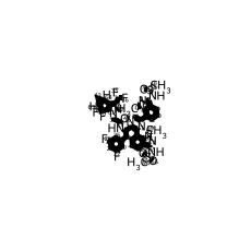 Cn1nc(N[S+](C)[O-])c2cccc(-c3cnc(C(Cc4cc(F)cc(F)c4)NC(=O)Cn4nc(C(F)F)c5c4C(F)(F)[C@@H]4C[C@H]54)c(-c4cccc5c(NS(C)(=O)=O)nn(C)c45)n3)c21